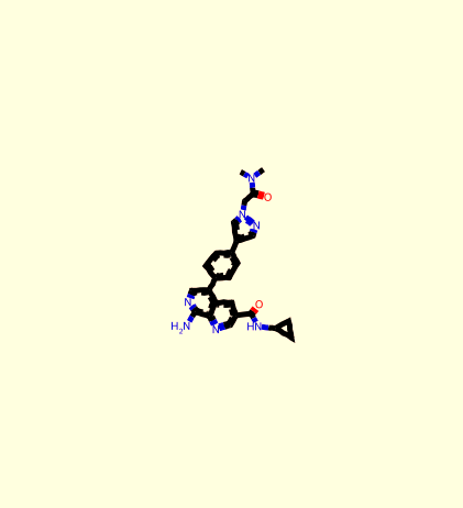 CN(C)C(=O)Cn1cc(-c2ccc(-c3cnc(N)c4ncc(C(=O)NC5CC5)cc34)cc2)cn1